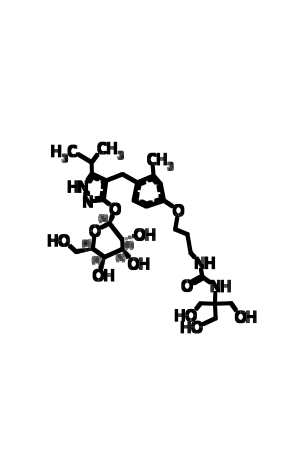 Cc1cc(OCCCNC(=O)NC(CO)(CO)CO)ccc1Cc1c(O[C@@H]2O[C@H](CO)[C@H](O)[C@H](O)[C@H]2O)n[nH]c1C(C)C